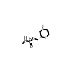 CN[PH](=O)OC[C@@H]1CNCCO1